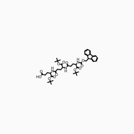 CC(C)(C)OC(=O)C(CCC(=O)O)NC(=O)CCC(NC(=O)CCC(NC(=O)OCC1c2ccccc2-c2ccccc21)C(=O)OC(C)(C)C)C(=O)OC(C)(C)C